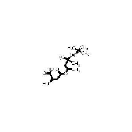 C=C(CC(=O)OC(C)CC(C)(C)OOC(C)(C)C)C(=O)O